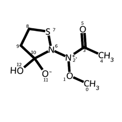 CO[N+](C(C)=O)N1SCCC1([O-])O